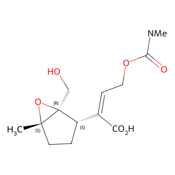 CNC(=O)OCC=C(C(=O)O)[C@@H]1CC[C@]2(C)O[C@@]12CO